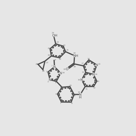 Cn1cnc(-c2cccc(Nc3ccn4ncc(C(=O)Nc5cc(O)cc(C6CC6)c5)c4n3)c2)n1